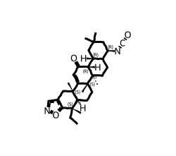 CC[C@]1(C)c2oncc2C[C@]2(C)C3=CC(=O)[C@@H]4[C@@H]5CC(C)(C)C[C@@H](N=C=O)C5CC[C@@]4(C)[C@]3(C)CC[C@H]21